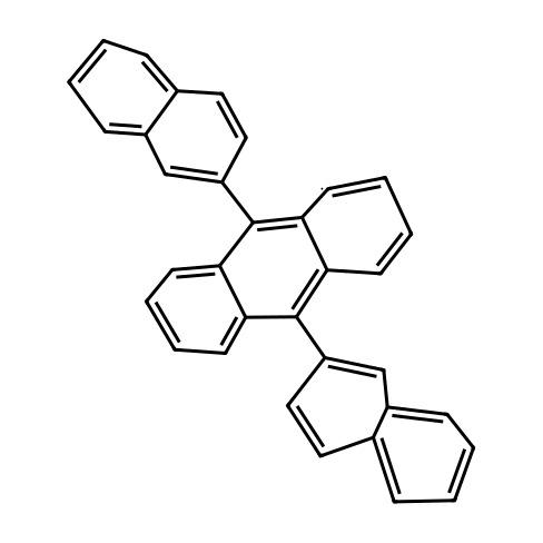 [c]1cccc2c(-c3ccc4ccccc4c3)c3ccccc3c(-c3ccc4ccccc4c3)c12